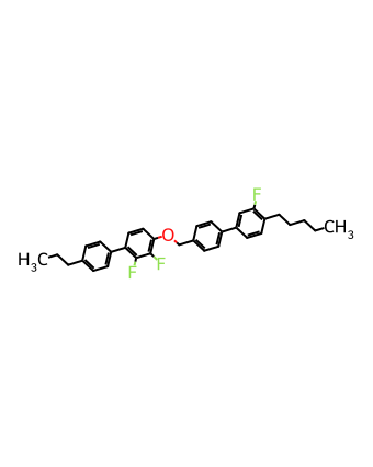 CCCCCc1ccc(-c2ccc(COc3ccc(-c4ccc(CCC)cc4)c(F)c3F)cc2)cc1F